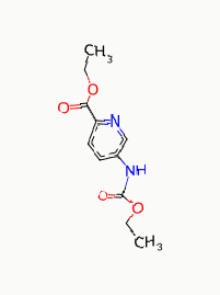 CCOC(=O)Nc1ccc(C(=O)OCC)nc1